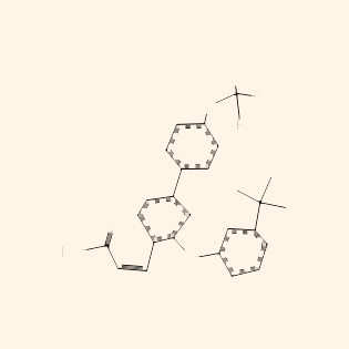 CC(C)(C)c1cccc(Oc2cc(-c3ccc(OC(F)(F)F)cc3)ccc2/C=C\C(=O)O)c1